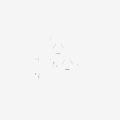 CN1CCCC1CCN(C(=O)O)c1ccc(C(F)(F)F)cc1-c1ccc(F)cc1